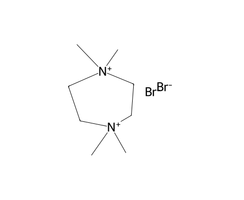 C[N+]1(C)CC[N+](C)(C)CC1.[Br-].[Br-]